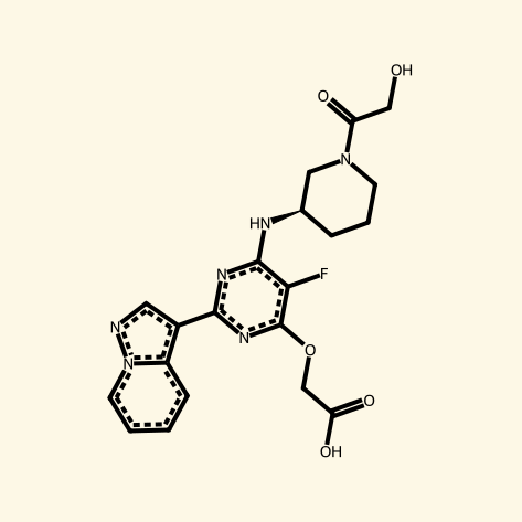 O=C(O)COc1nc(-c2cnn3ccccc23)nc(N[C@@H]2CCCN(C(=O)CO)C2)c1F